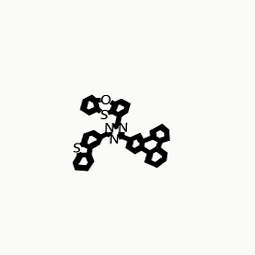 c1ccc2c(c1)Oc1cccc(-c3nc(-c4ccc5sc6ccccc6c5c4)nc(-c4ccc5c6ccccc6c6ccccc6c5c4)n3)c1S2